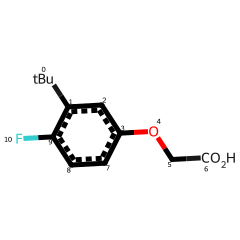 CC(C)(C)c1cc(OCC(=O)O)ccc1F